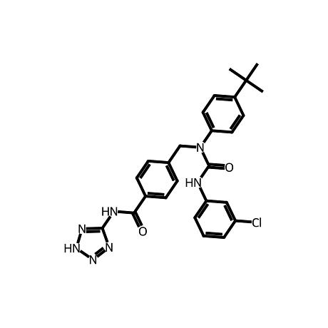 CC(C)(C)c1ccc(N(Cc2ccc(C(=O)Nc3nn[nH]n3)cc2)C(=O)Nc2cccc(Cl)c2)cc1